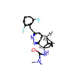 CN(C)C(=O)N[C@@]12CC[C@@H](c3cc(-c4c(F)cccc4F)nnc31)C2(C)C